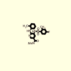 CNC(=O)c1cnc(Nc2ccccc2C)c(NS(=O)(=O)c2ccc(F)cc2C)c1